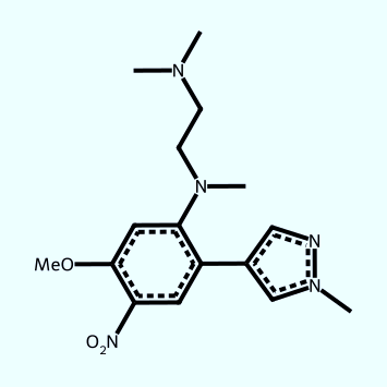 COc1cc(N(C)CCN(C)C)c(-c2cnn(C)c2)cc1[N+](=O)[O-]